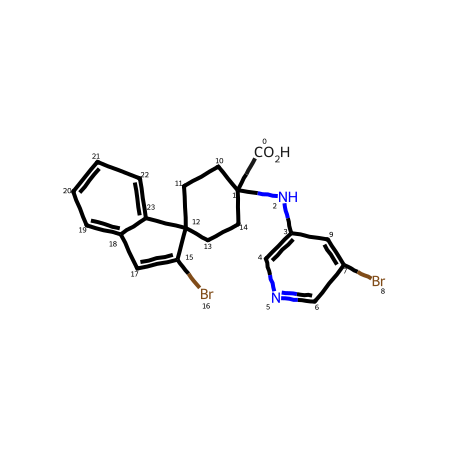 O=C(O)C1(Nc2cncc(Br)c2)CCC2(CC1)C(Br)=Cc1ccccc12